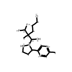 Cc1cnc(C2CCNN2C(O)C(C)(CCCCl)C(F)F)cn1